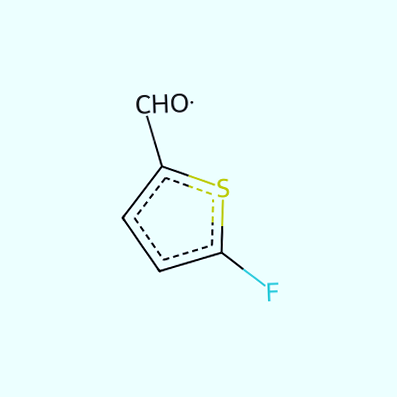 O=[C]c1ccc(F)s1